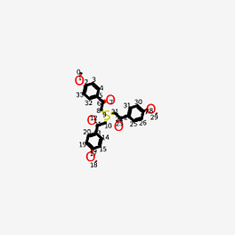 COc1ccc(C(=O)C[S+](CC(=O)c2ccc(OC)cc2)CC(=O)c2ccc(OC)cc2)cc1